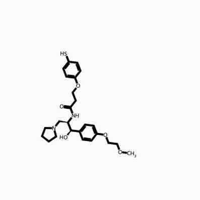 COCCOc1ccc([C@@H](O)[C@@H](CN2CCCC2)NC(=O)CCOc2ccc(S)cc2)cc1